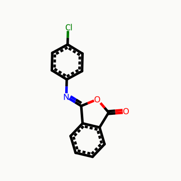 O=C1OC(=Nc2ccc(Cl)cc2)c2ccccc21